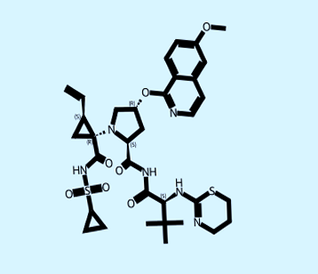 C=C[C@@H]1C[C@@]1(C(=O)NS(=O)(=O)C1CC1)N1C[C@H](Oc2nccc3cc(OC)ccc23)C[C@H]1C(=O)NC(=O)[C@@H](NC1=NCCCS1)C(C)(C)C